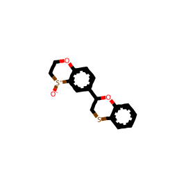 [O-][S+]1CCOc2ccc(C3CSc4ccccc4O3)cc21